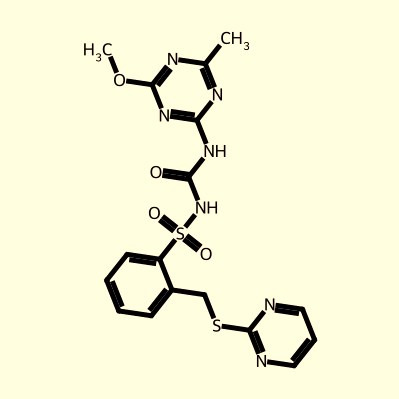 COc1nc(C)nc(NC(=O)NS(=O)(=O)c2ccccc2CSc2ncccn2)n1